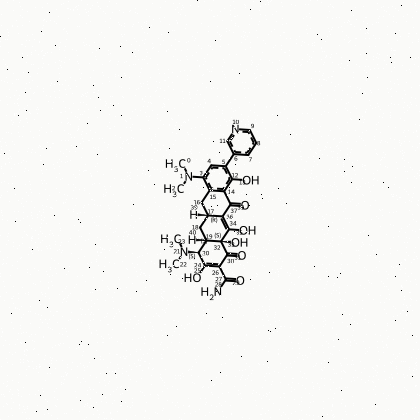 CN(C)c1cc(-c2cccnc2)c(O)c2c1C[C@H]1C[C@H]3[C@H](N(C)C)C(O)=C(C(N)=O)C(=O)[C@@]3(O)C(O)=C1C2=O